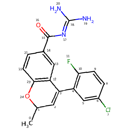 CC1C=C(c2cc(Cl)ccc2F)c2cc(C(=O)N=C(N)N)ccc2O1